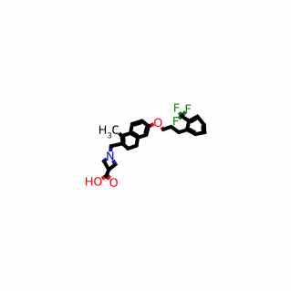 CC1=C(CN2CC(C(=O)O)C2)CCc2cc(OCCCc3ccccc3C(F)(F)F)ccc21